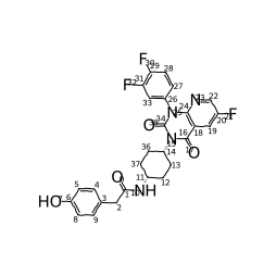 O=C(Cc1ccc(O)cc1)N[C@H]1CC[C@@H](n2c(=O)c3cc(F)cnc3n(-c3ccc(F)c(F)c3)c2=O)CC1